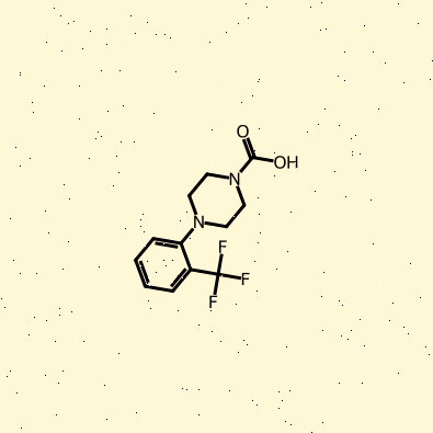 O=C(O)N1CCN(c2ccccc2C(F)(F)F)CC1